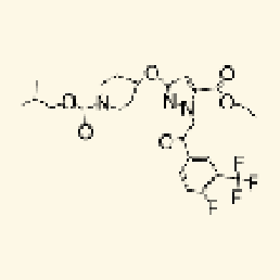 CCOC(=O)c1cc(OC2CCN(C(=O)OCC(C)C)CC2)nn1CC(=O)c1ccc(F)c(C(F)(F)F)c1